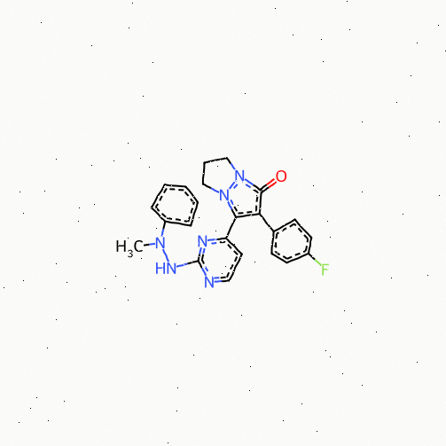 CN(Nc1nccc(-c2c(-c3ccc(F)cc3)c(=O)n3n2CCC3)n1)c1ccccc1